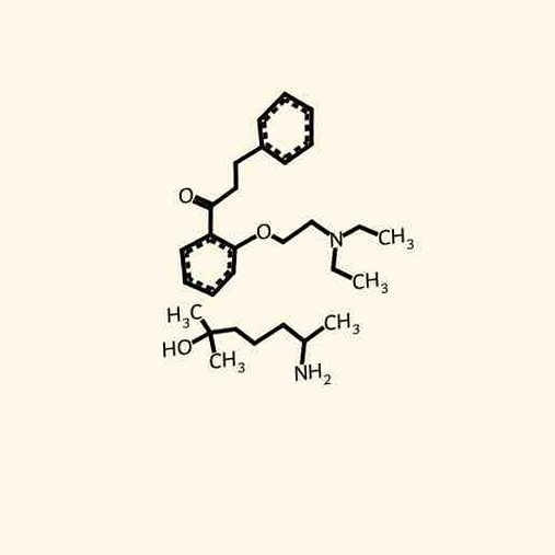 CC(N)CCCC(C)(C)O.CCN(CC)CCOc1ccccc1C(=O)CCc1ccccc1